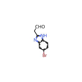 O=CCc1nc2cc(Br)ccc2[nH]1